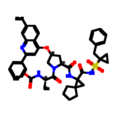 COc1ccc2c(O[C@@H]3C[C@@H](C(=O)NC4(C(=O)NS(=O)(=O)C5(Cc6ccccc6)CC5)CC45CCCC5)N(C(=O)[C@@H](NC(=O)OC(C)(C)C)C(C)(C)C)C3)cc(-c3ccccc3)nc2c1